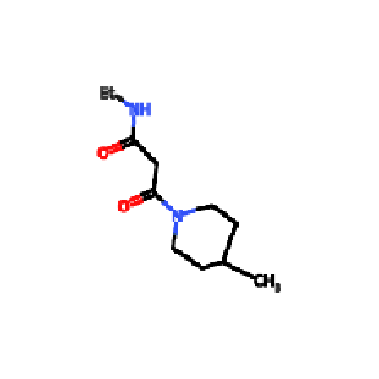 CCNC(=O)CC(=O)N1CCC(C)CC1